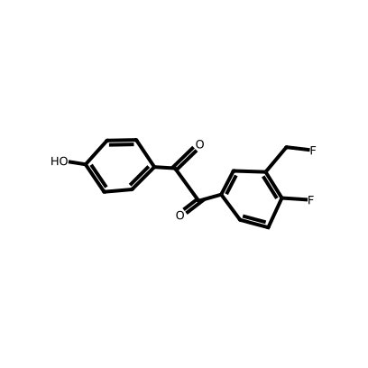 O=C(C(=O)c1ccc(F)c(CF)c1)c1ccc(O)cc1